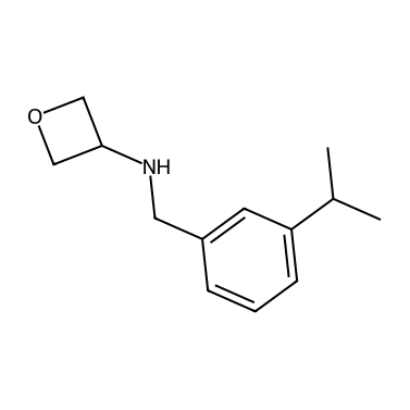 CC(C)c1cccc(CNC2COC2)c1